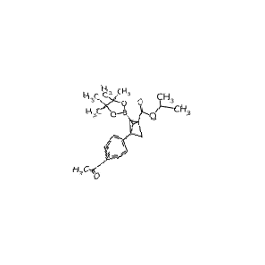 CC(=O)c1ccc(C23CC(C(=O)OC(C)C)(C2)C3B2OC(C)(C)C(C)(C)O2)cc1